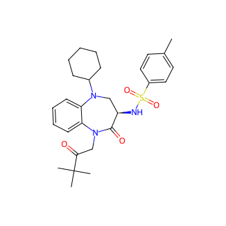 Cc1ccc(S(=O)(=O)N[C@@H]2CN(C3CCCCC3)c3ccccc3N(CC(=O)C(C)(C)C)C2=O)cc1